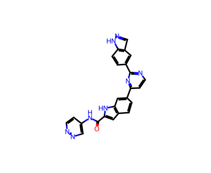 O=C(Nc1ccnnc1)c1cc2ccc(-c3ccnc(-c4ccc5[nH]ncc5c4)n3)cc2[nH]1